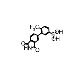 O=C1NC(=O)c2cc(-c3cc(B(O)O)ccc3C(F)(F)F)ccc21